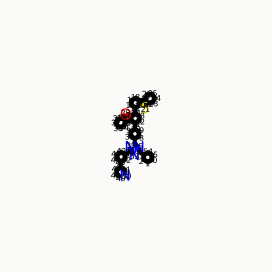 c1ccc(-c2nc(-c3ccc(-c4ccc(-c5cccc6c5sc5ccccc56)c5oc6ccccc6c45)cc3)nc(-c3cccc(-c4cccnc4)c3)n2)cc1